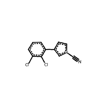 N#Cn1ccc(-c2cccc(Cl)c2Cl)c1